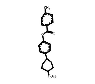 CCCCCCCCC1CCC(c2ccc(OC(=O)c3ccc(C)cc3)cc2)CC1